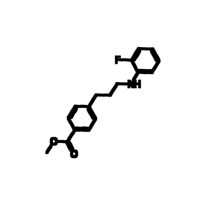 COC(=O)c1ccc(CCCNc2ccccc2F)cc1